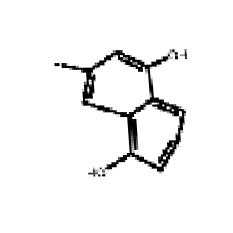 Oc1cc(F)cc2c(O)cccc12